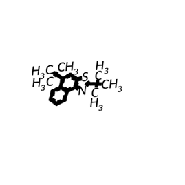 CC(C)(C)c1nc2c(cc(C(C)(C)C)c3ccccc32)s1